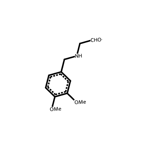 COc1ccc(CNC[C]=O)cc1OC